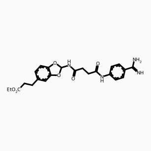 CCOC(=O)CCc1ccc2c(c1)OC(NC(=O)CCC(=O)Nc1ccc(C(=N)N)cc1)O2